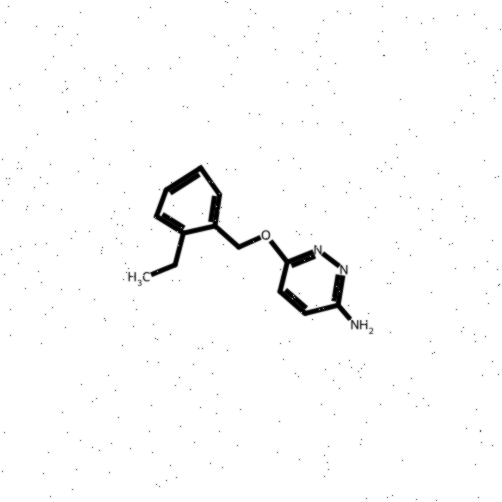 CCc1ccccc1COc1ccc(N)nn1